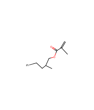 C=C(C)C(=O)OCC(C)CCC(C)C